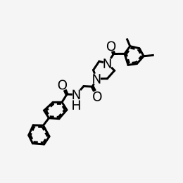 Cc1ccc(C(=O)N2CCN(C(=O)CNC(=O)c3ccc(-c4ccccc4)cc3)CC2)c(C)c1